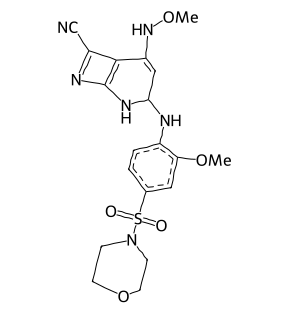 CONC1=CC(Nc2ccc(S(=O)(=O)N3CCOCC3)cc2OC)NC2=C1C(C#N)=N2